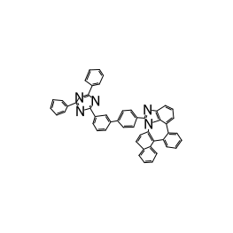 c1ccc(-c2nc(-c3ccccc3)nc(-c3cccc(-c4ccc(-c5nc6cccc7c6n5-c5ccc6ccccc6c5-c5ccccc5-7)cc4)c3)n2)cc1